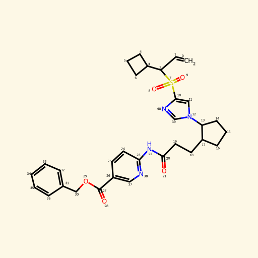 C=CC(C1CCC1)S(=O)(=O)c1cn(C2CCCC2CCC(=O)Nc2ccc(C(=O)OCc3ccccc3)cn2)cn1